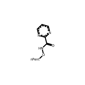 CCCCCONC(=O)c1ncccn1